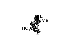 CO/N=C(/C(=O)N[C@@H]1C(=O)N2C(C(=O)O)=C(/C=C\c3ncsc3C)CCC12)c1nsc(N)n1